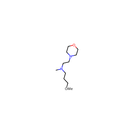 COCCCN(C)CCN1CCOCC1